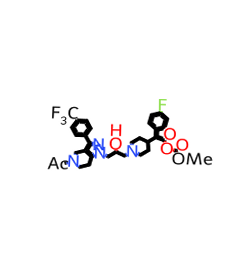 COC(=O)Oc1oc2cc(F)ccc2c1C1CCN(CC(O)Cn2nc(-c3ccc(C(F)(F)F)cc3)c3c2CCN(C(C)=O)C3)CC1